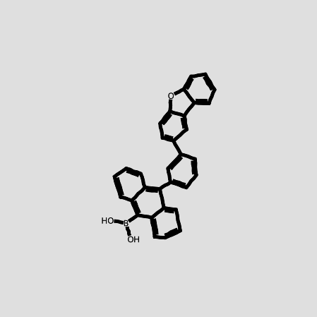 OB(O)c1c2ccccc2c(-c2cccc(-c3ccc4oc5ccccc5c4c3)c2)c2ccccc12